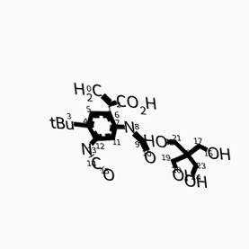 C=CC(=O)O.CC(C)(C)c1ccc(N=C=O)cc1N=C=O.OCC(CO)(CO)CO